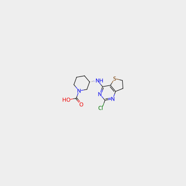 O=C(O)N1CCC[C@H](Nc2nc(Cl)nc3c2SCC3)C1